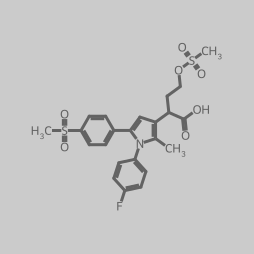 Cc1c(C(CCOS(C)(=O)=O)C(=O)O)cc(-c2ccc(S(C)(=O)=O)cc2)n1-c1ccc(F)cc1